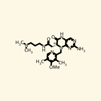 COc1c(C)cnc(CN2c3nc(N)ncc3NC(=O)[C@H]2CC(=O)NCCCN(C)C)c1C